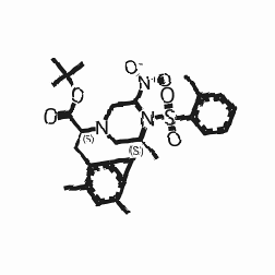 Cc1ccccc1S(=O)(=O)N1C([N+](=O)[O-])CN([C@@H](Cc2c(C)cc(C)c3c2C3)C(=O)OC(C)(C)C)C[C@@H]1C